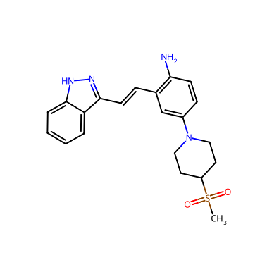 CS(=O)(=O)C1CCN(c2ccc(N)c(C=Cc3n[nH]c4ccccc34)c2)CC1